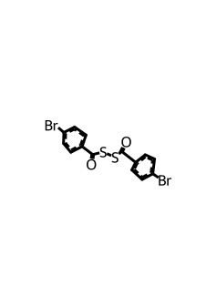 O=C(SSC(=O)c1ccc(Br)cc1)c1ccc(Br)cc1